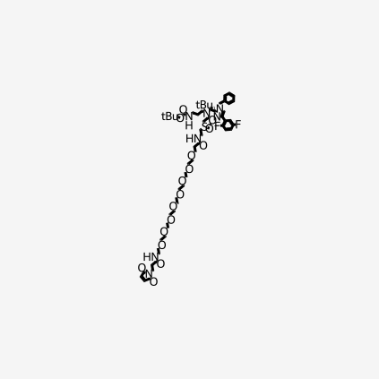 CC(C)(C)OC(=O)NCCCN(C(=O)C[S+]([O-])CCNC(=O)CCOCCOCCOCCOCCOCCOCCOCCOCCNC(=O)CCN1C(=O)C=CC1=O)[C@@H](c1nc(-c2cc(F)ccc2F)cn1Cc1ccccc1)C(C)(C)C